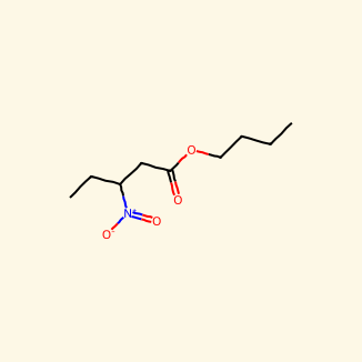 CCCCOC(=O)CC(CC)[N+](=O)[O-]